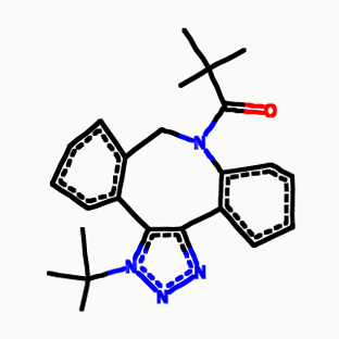 CC(C)(C)C(=O)N1Cc2ccccc2-c2c(nnn2C(C)(C)C)-c2ccccc21